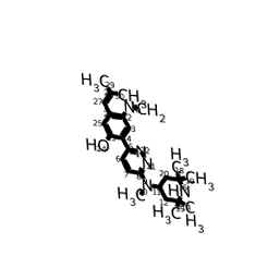 C=Nc1cc(-c2ccc(N(C)C3CC(C)(C)NC(C)(C)C3)nn2)c(O)cc1C=C(C)C